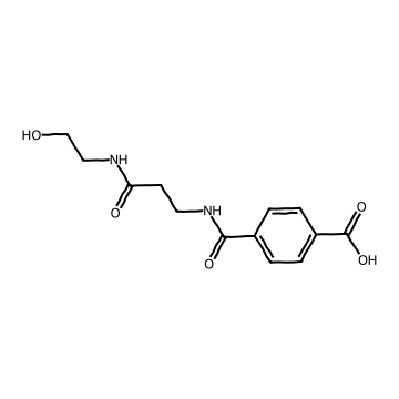 O=C(CCNC(=O)c1ccc(C(=O)O)cc1)NCCO